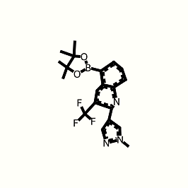 Cn1cc(-c2nc3cccc(B4OC(C)(C)C(C)(C)O4)c3cc2C(F)(F)F)cn1